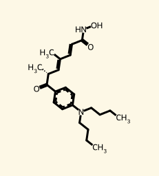 CCCCN(CCCC)c1ccc(C(=O)[C@H](C)/C=C(C)/C=C/C(=O)NO)cc1